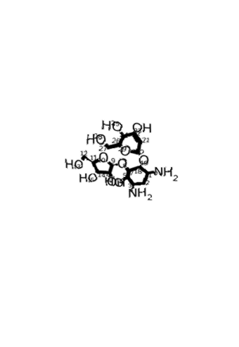 NC1C[C@@H](N)C(O)C(O[C@@H]2O[C@H](CO)C(O)C2O)[C@@H]1O[C@@H]1C=C(O)[C@H](O)C(CO)O1